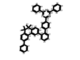 CC1(C)c2ccc(-c3ccccc3)cc2-c2cc(-c3ccccc3-c3ccc(-c4nc(-c5ccccc5)nc(-c5ccccc5)n4)cc3)ccc2C1(C)C